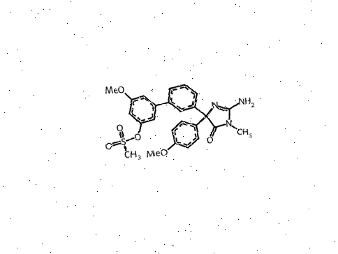 COc1ccc(C2(c3cccc(-c4cc(OC)cc(OS(C)(=O)=O)c4)c3)N=C(N)N(C)C2=O)cc1